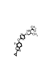 CC(=O)N[C@@H](C)COc1cnc(Oc2ccc3nc(C4CC4)sc3c2F)cn1